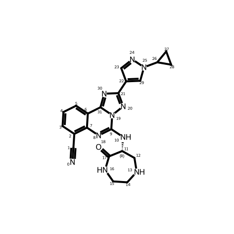 N#Cc1cccc2c1nc(N[C@@H]1CNCCNC1=O)n1nc(-c3cnn(C4CC4)c3)nc21